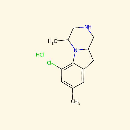 Cc1cc(Cl)c2c(c1)CC1CNCC(C)N21.Cl